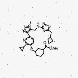 COC(=O)C1CCCC(Oc2ccc(-c3nnn(C)c3CNc3noc(CC4CCC4)n3)nc2C2CC2)C1